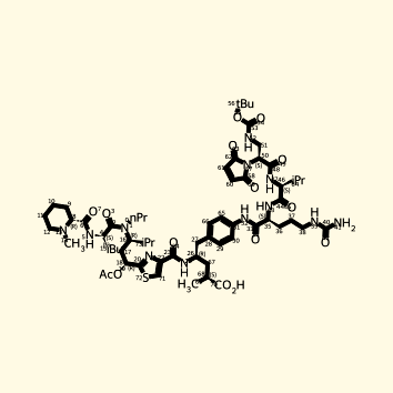 CCCN(C(=O)[C@@H](NC(=O)[C@H]1CCCCN1C)[C@@H](C)CC)[C@H](C[C@@H](OC(C)=O)c1nc(C(=O)N[C@@H](Cc2ccc(NC(=O)[C@H](CCCNC(N)=O)NC(=O)[C@@H](NC(=O)[C@H](CNC(=O)OC(C)(C)C)N3C(=O)C=CC3=O)C(C)C)cc2)C[C@H](C)C(=O)O)cs1)C(C)C